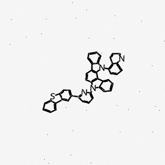 c1cc(-c2ccc3sc4ccccc4c3c2)nc(-n2c3ccccc3c3c2ccc2c4ccccc4n(-c4cccc5ncccc45)c23)c1